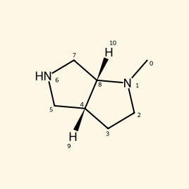 CN1CC[C@@H]2CNC[C@@H]21